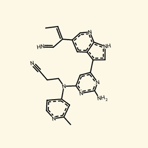 C/C=C(\C=N)c1cnc2[nH]cc(-c3cc(N(CCC#N)c4ccnc(C)c4)nc(N)n3)c2c1